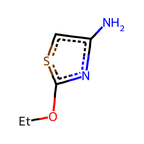 CCOc1nc(N)cs1